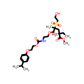 CCC(C)(CC(C)(C(=O)OCCNC(=O)OCCOc1ccc(C(C)C)cc1)S(=O)(=O)CCO)C(=O)OC